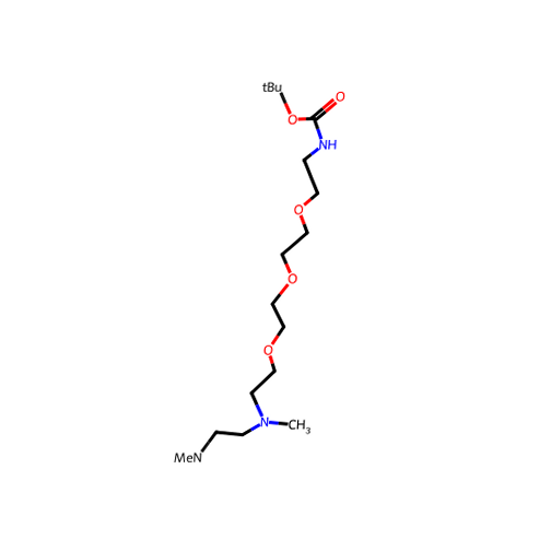 CNCCN(C)CCOCCOCCOCCNC(=O)OC(C)(C)C